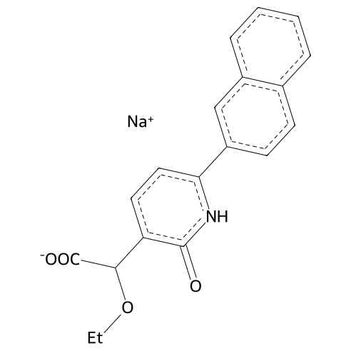 CCOC(C(=O)[O-])c1ccc(-c2ccc3ccccc3c2)[nH]c1=O.[Na+]